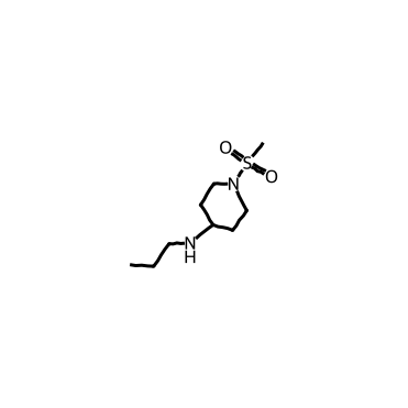 CCCNC1CCN(S(C)(=O)=O)CC1